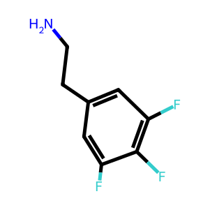 NCCc1cc(F)c(F)c(F)c1